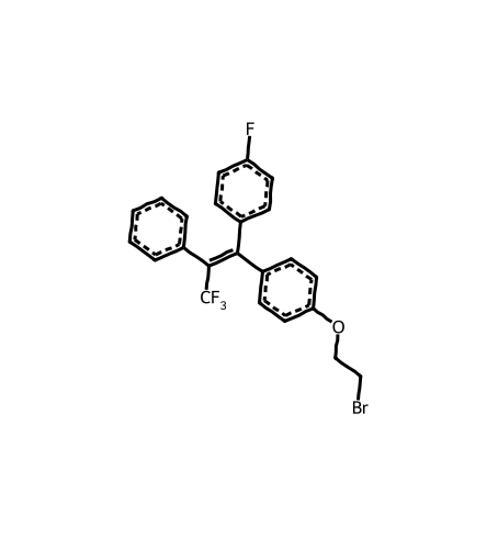 Fc1ccc(C(=C(c2ccccc2)C(F)(F)F)c2ccc(OCCBr)cc2)cc1